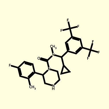 Cc1cc(F)ccc1C1CNCCN1C(=O)N(C)C(c1cc(C(F)(F)F)cc(C(F)(F)F)c1)C1CC1